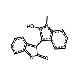 Cn1c(O)c(C2=c3ccccc3=NC2=O)c2ccccc21